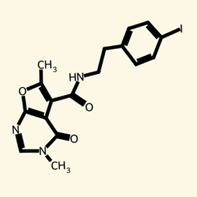 Cc1oc2ncn(C)c(=O)c2c1C(=O)NCCc1ccc(I)cc1